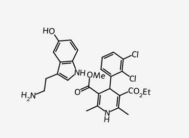 CCOC(=O)C1=C(C)NC(C)=C(C(=O)OC)C1c1cccc(Cl)c1Cl.NCCc1c[nH]c2ccc(O)cc12